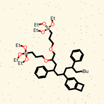 CCO[Si](CCCOCC(CC(CC(CC(CC(C)CC)c1ccccc1)c1ccc2c(c1)CC2)c1ccccc1)OCCC[Si](OCC)(OCC)OCC)(OCC)OCC